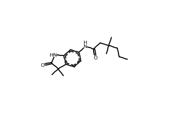 CCCC(C)(C)CC(=O)Nc1ccc2c(c1)NC(=O)C2(C)C